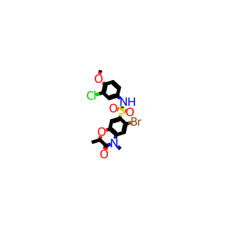 COc1ccc(NS(=O)(=O)c2cc3c(cc2Br)N(C)C(=O)C(C)O3)cc1Cl